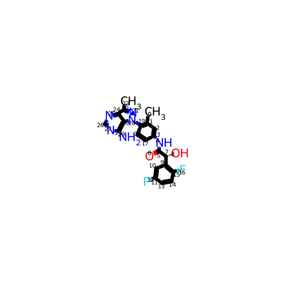 Cc1cc(NC(=O)[C@H](O)c2cc(F)ccc2F)ccc1-n1nc(C)c2ncnc(N)c21